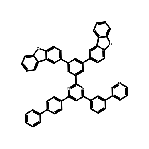 c1ccc(-c2ccc(-c3cc(-c4cccc(-c5cccnc5)c4)nc(-c4cc(-c5ccc6oc7ccccc7c6c5)cc(-c5ccc6oc7ccccc7c6c5)c4)n3)cc2)cc1